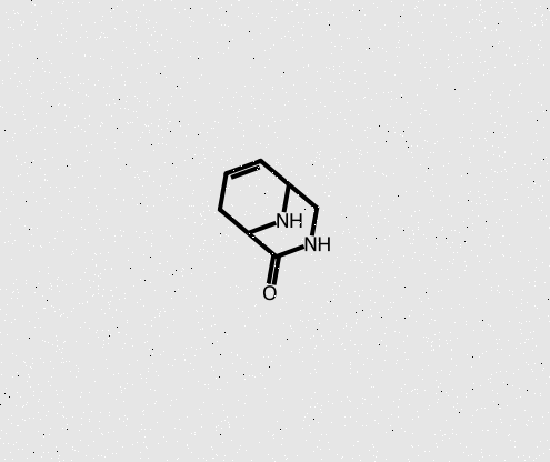 O=C1NCC2C=CCC1N2